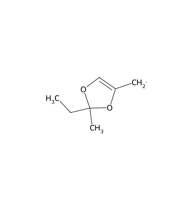 [CH2]C1=COC(C)(CC)O1